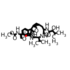 COC(=O)Nc1coc(-c2nc3oc2C24c5ccccc5NC2Oc2ccc(cc24)CC(NC(=O)[C@@H](O)C(C)C)C(=O)NC3C(C)C)n1